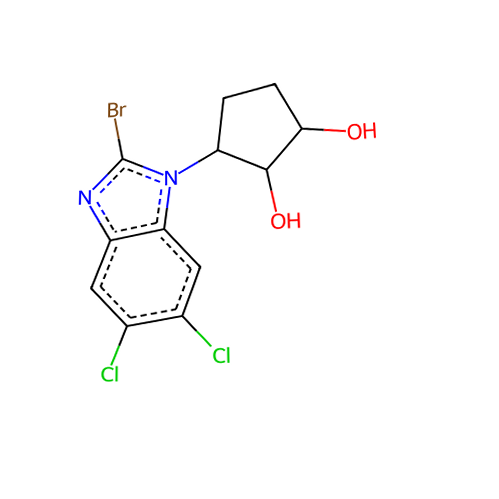 OC1CCC(n2c(Br)nc3cc(Cl)c(Cl)cc32)C1O